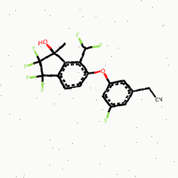 CC1(O)c2c(ccc(Oc3cc(F)cc(CC#N)c3)c2C(F)F)C(F)(F)C1(F)F